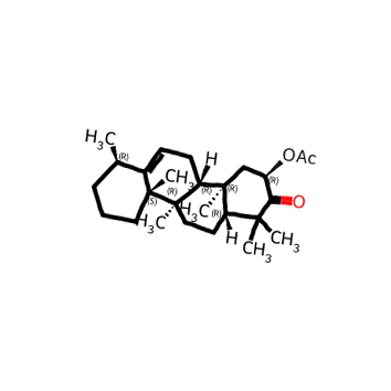 CC(=O)O[C@@H]1C[C@]2(C)[C@H]3CC=C4[C@H](C)CCC[C@@]4(C)[C@]3(C)CC[C@H]2C(C)(C)C1=O